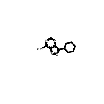 Nc1ncnc2c(C3CCCCC3)onc12